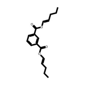 CCCC=COC(=O)c1cccc(C(=O)OC=CCCC)c1